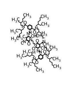 [C-]#[N+]c1c(C)c(/N=N/c2cc(C(=O)N(CC(CC)CCCC)CC(CC)CCCC)ccc2C(=O)N(CC(CC)CCC)CC(CC)CCCC)c(O)n(CCn2c(O)c(/N=N/c3cc(C(=O)N(CC(C)CCCC)CC(CC)CCCC)ccc3C(=O)N(CC(CC)CCCC)CC(CC)CCCC)c(C)c(C#N)c2=O)c1=O